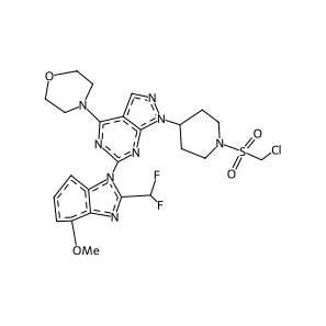 COc1cccc2c1nc(C(F)F)n2-c1nc(N2CCOCC2)c2cnn(C3CCN(S(=O)(=O)CCl)CC3)c2n1